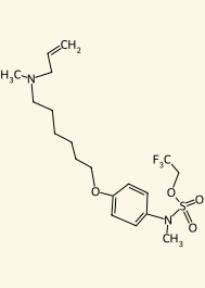 C=CCN(C)CCCCCCOc1ccc(N(C)S(=O)(=O)OCC(F)(F)F)cc1